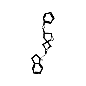 c1ccc(OC2COC3(C2)CN(C[C@H]2CCc4ccccc42)C3)cc1